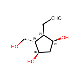 O=CC[C@@H]1[C@@H](CO)[C@H](O)C[C@@H]1O